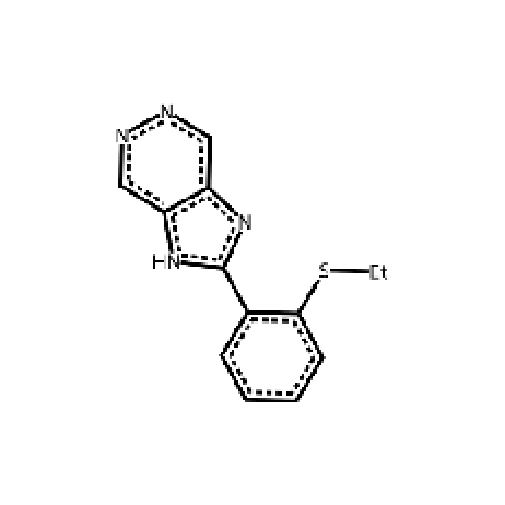 CCSc1ccccc1-c1nc2cnncc2[nH]1